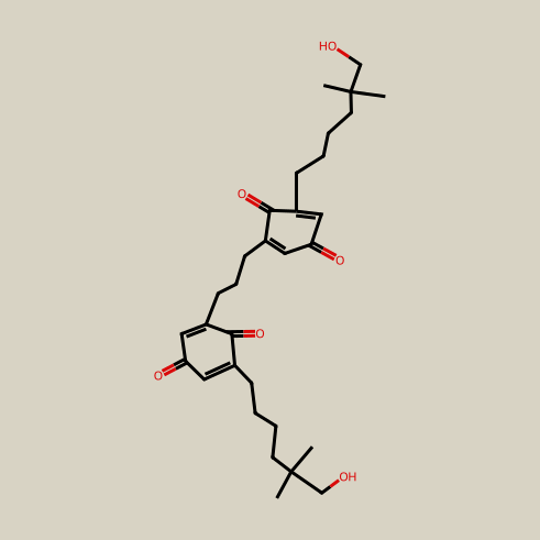 CC(C)(CO)CCCCC1=CC(=O)C=C(CCCC2=CC(=O)C=C(CCCCC(C)(C)CO)C2=O)C1=O